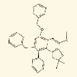 COc1cc2c(OCc3ccccc3)cc(Cc3ccccc3)c(-c3ccccc3)c2c2c1OC(C)(C)C2